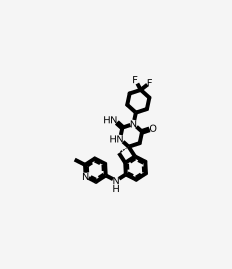 Cc1ccc(Nc2cccc3c2C[C@]32CC(=O)N(C3CCC(F)(F)CC3)C(=N)N2)cn1